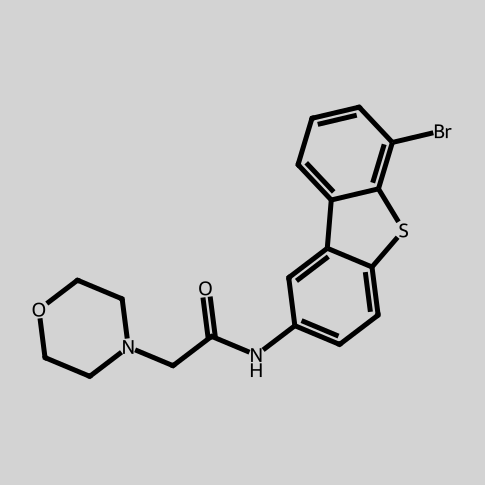 O=C(CN1CCOCC1)Nc1ccc2sc3c(Br)cccc3c2c1